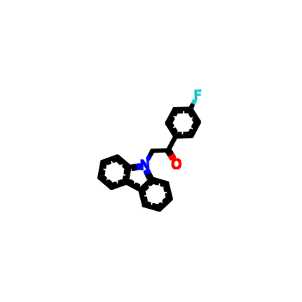 O=C(Cn1c2ccccc2c2ccccc21)c1ccc(F)cc1